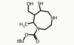 CC1C(CO)C(S)CNCCN1C(=O)OC(C)(C)C